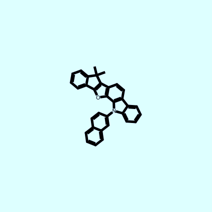 CC1(C)c2ccccc2-c2oc3c(ccc4c5ccccc5n(-c5ccc6ccccc6c5)c43)c21